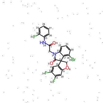 O=C(CN1C(=O)C2(COc3cc(F)c(F)cc32)c2c(Br)cccc21)Nc1ccccc1F